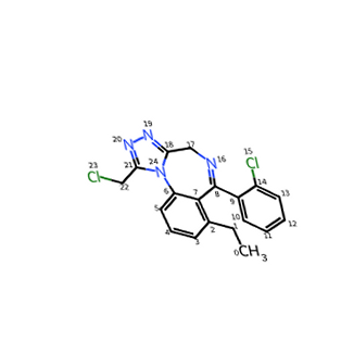 CCc1cccc2c1C(c1ccccc1Cl)=NCc1nnc(CCl)n1-2